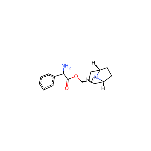 CN1[C@@H]2CC[C@H]1C[C@H](COC(=O)C(N)c1ccccc1)C2